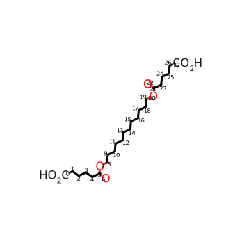 O=C(O)CCCCC(=O)OCCCCCCCCCCCCOC(=O)CCCCC(=O)O